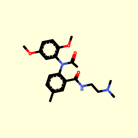 COc1ccc(OC)c(N(C(C)=O)c2ccc(C)cc2C(=O)NCCN(C)C)c1